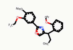 CCCOc1ccccc1C(CC=O)c1coc(-c2ccc(OC)c(OCC(F)(F)F)c2)n1